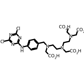 O=C(O)CN(CCN(CC(=O)O)CC(=O)O)CCN(CC(=O)O)Cc1ccc(Nc2nc(Cl)nc(Cl)n2)cc1